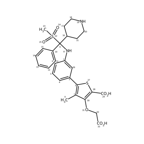 Cc1c(-c2cccc(NC(c3ccccc3)(C3CCNCC3)S(C)(=O)=O)c2)sc(C(=O)O)c1OCC(=O)O